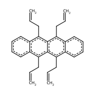 C=CCc1c2ccccc2c(CC=C)c2c(CC=C)c3ccccc3c(CC=C)c12